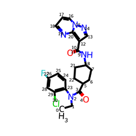 CCN(C(=O)C1CCC(NC(=O)c2cnn3cccnc23)CC1)c1ccc(F)cc1Cl